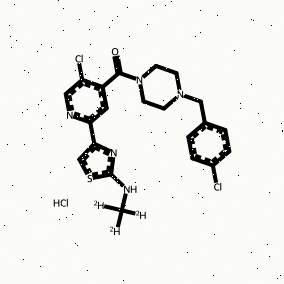 Cl.[2H]C([2H])([2H])Nc1nc(-c2cc(C(=O)N3CCN(Cc4ccc(Cl)cc4)CC3)c(Cl)cn2)cs1